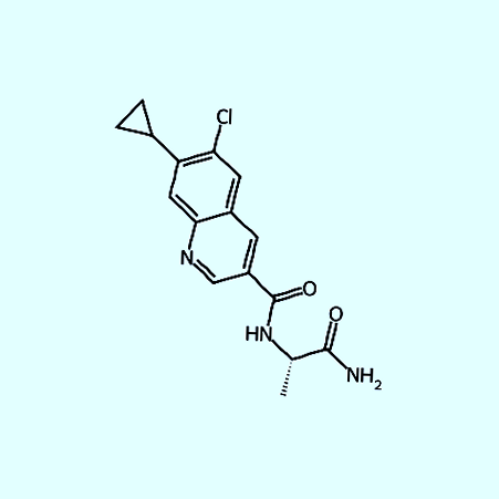 C[C@H](NC(=O)c1cnc2cc(C3CC3)c(Cl)cc2c1)C(N)=O